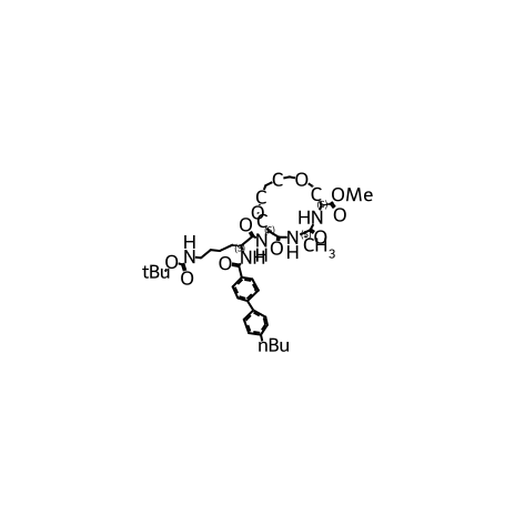 CCCCc1ccc(-c2ccc(C(=O)N[C@@H](CCCCNC(=O)OC(C)(C)C)C(=O)N[C@H]3COCCCCOCC[C@@H](C(=O)OC)NC(=O)[C@H](C)NC3=O)cc2)cc1